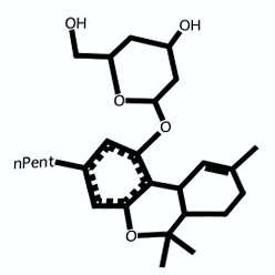 CCCCCc1cc(OC2CC(O)CC(CO)O2)c2c(c1)OC(C)(C)C1CCC(C)=CC21